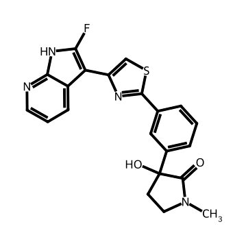 CN1CCC(O)(c2cccc(-c3nc(-c4c(F)[nH]c5ncccc45)cs3)c2)C1=O